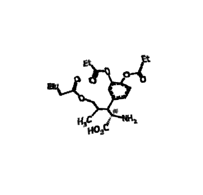 CCC(=O)Oc1ccc(C(C(C)COC(=O)CC(C)CC)[C@H](N)C(=O)O)cc1OC(=O)CC